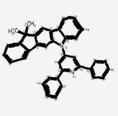 CC1(C)c2ccccc2-c2cc3c(cc21)c1ccccc1n3-c1cc(-c2ccccc2)nc(-c2ccccc2)c1